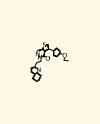 CCOc1ccc(-c2csc3cnn(CCc4ccc5ccccc5n4)c(=O)c23)cc1